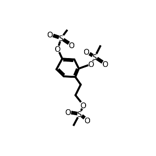 CS(=O)(=O)OCCc1ccc(OS(C)(=O)=O)cc1OS(C)(=O)=O